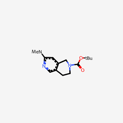 CNc1cc2c(cn1)CCN(C(=O)OC(C)(C)C)C2